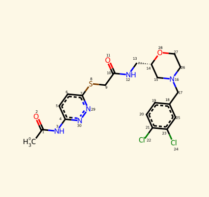 CC(=O)Nc1ccc(SCC(=O)NC[C@H]2CN(Cc3ccc(Cl)c(Cl)c3)CCO2)nn1